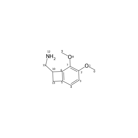 COc1ccc2c(c1OC)C(CN)C2